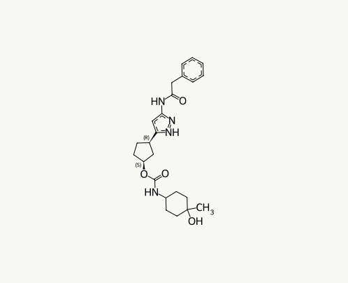 CC1(O)CCC(NC(=O)O[C@H]2CC[C@@H](c3cc(NC(=O)Cc4ccccc4)n[nH]3)C2)CC1